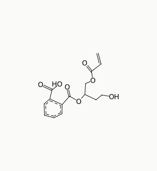 C=CC(=O)OCC(CCO)OC(=O)c1ccccc1C(=O)O